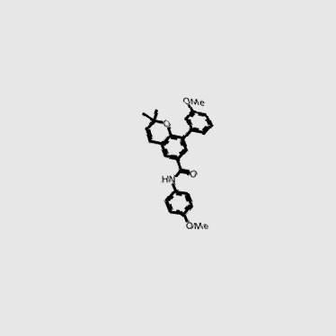 COc1ccc(NC(=O)c2cc3c(c(-c4cccc(OC)c4)c2)OC(C)(C)C=C3)cc1